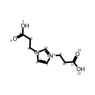 O=C(O)CCn1cc[n+](CCC(=O)O)c1